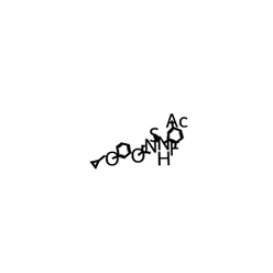 CC(=O)c1ccc(F)c(NC(=S)N2CC(Oc3cccc(OCC4CC4)c3)C2)c1